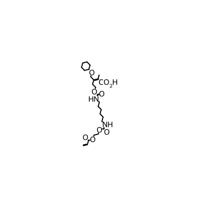 C=CC(=O)OCCOC(=O)NCCCCCCNC(=O)OCCC(COC1CCCCC1)=C(C)C(=O)O